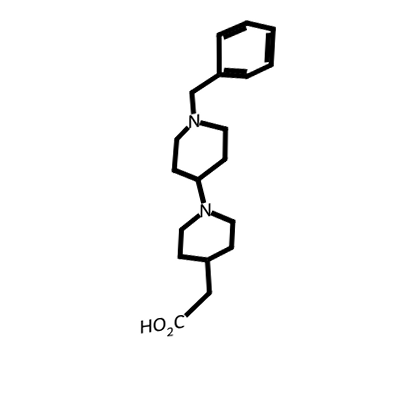 O=C(O)CC1CCN(C2CCN(Cc3ccccc3)CC2)CC1